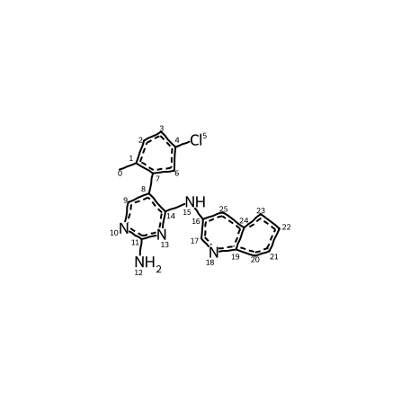 Cc1ccc(Cl)cc1-c1cnc(N)nc1Nc1cnc2ccccc2c1